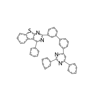 c1ccc(-c2cc(-c3cccc(-c4cccc(-c5nc(-c6ccccc6)c6c(n5)sc5ccccc56)c4)c3)nc(-c3ccccc3)n2)cc1